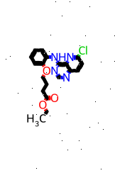 CCOC(=O)CCCOc1ccccc1Nc1ncnc2ccc(Cl)nc12